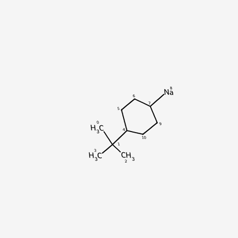 CC(C)(C)C1CC[CH]([Na])CC1